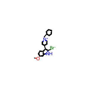 COc1ccc2c(-c3cc[n+](Cc4ccccc4)cc3)c(C)[nH]c2c1.[Br-]